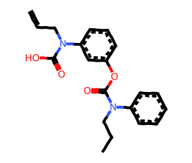 C=CCN(C(=O)O)c1cccc(OC(=O)N(CCC)c2ccccc2)c1